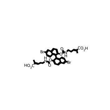 C/C(=C\CCNC(=O)Oc1ccc2cc(Br)ccc2c1-c1c(OC(=O)NCC/C=C(\C)C(=O)O)ccc2cc(Br)ccc12)C(=O)O